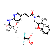 Cc1c(CN(C)C(=O)C=Cc2cnc3c(c2)OC(C)(C)C(O)N3)oc2ccccc12.O=C(O)C(F)(F)F